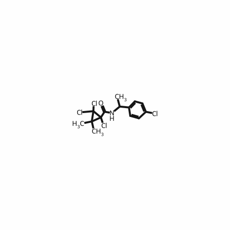 CC(NC(=O)C1(Cl)C(C)(C)C1(Cl)Cl)c1ccc(Cl)cc1